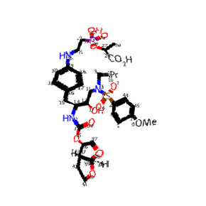 COc1ccc(S(=O)(=O)N(CC(C)C)C[C@@H](O)[C@H](Cc2ccc(NCCP(=O)(O)O[C@@H](C)C(=O)O)cc2)NC(=O)O[C@H]2CO[C@H]3OCC[C@H]32)cc1